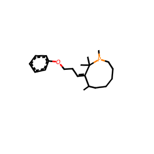 CC1CCCCCP(C)C(C)(C)C1=CCCOc1ccccc1